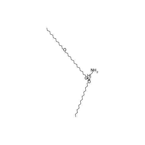 CCCCCCCCCCCCCCCCO[SiH](CCCN)OCCCCCCCCCCCCCCOCCCCCCCCCCCC